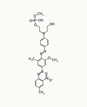 COc1cc(N=Nc2ccc(C)cc2[N+](=O)[O-])cc(C)c1N=Nc1ccc(N(CCO)CCOP(=O)(O)OC)cc1